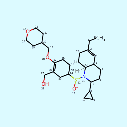 CCC1=CC2CCC(C3CC3)N([S+]([O-])C3CCC(OCC4CCOCC4)=C(CO)C3)[C@H]2CC1